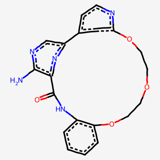 Nc1ncc2nc1C(=O)Nc1ccccc1OCCOCCOc1cc-2ccn1